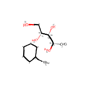 CC(C)(C)C1CCCCC1.O=C[C@H](O)[C@@H](O)[C@H](O)CO